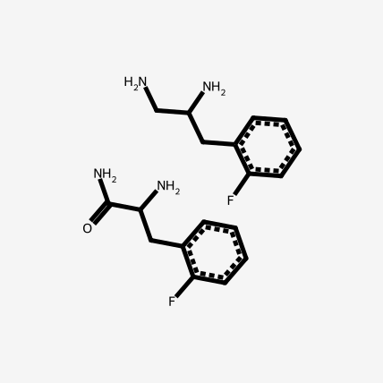 NC(=O)C(N)Cc1ccccc1F.NCC(N)Cc1ccccc1F